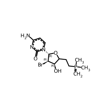 C=P(C)(C)CCC1O[C@@H](n2ccc(N)nc2=O)[C@H](Br)[C@@H]1O